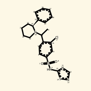 CC(c1ccc(S(=O)(=O)Nc2ncns2)cc1Cl)N1CCCC[C@H]1c1ccccc1